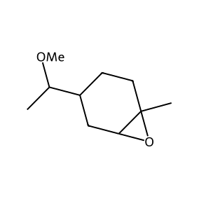 COC(C)C1CCC2(C)OC2C1